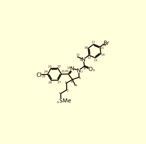 CSCCCC1(C)CN(C(=O)N(C)c2ccc(Br)cc2)N=C1c1ccc(Cl)cc1